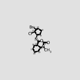 Cn1c(=O)oc(=Nc2cccc(Br)c2Cl)c2ccccc21